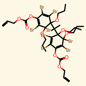 C=CCOC(=O)OC1=C(Br)C(Br)(OCCC)C(OCCC)(C(C)(C)C2(OCCC)C(Br)=C(Br)C(OC(=O)OCC=C)=C(Br)C2(Br)OCCC)C(Br)=C1Br